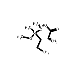 C=CC(=O)O.CCC[Si](C)(OC)OC